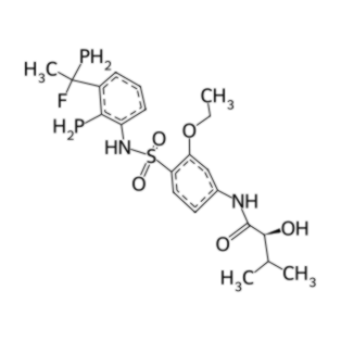 CCOc1cc(NC(=O)[C@@H](O)C(C)C)ccc1S(=O)(=O)Nc1cccc(C(C)(F)P)c1P